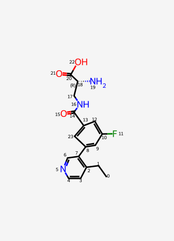 CCc1ccncc1-c1cc(F)cc(C(=O)NC[C@@H](N)C(=O)O)c1